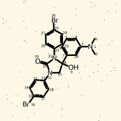 CN(C)c1cccc(C2(O)CN(c3ccc(Br)cc3)C(=O)N2c2ccc(Br)cc2)c1